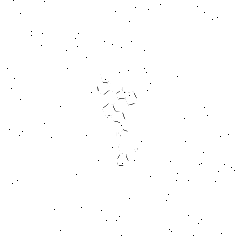 COc1ccccc1CCNC(=O)c1ccc2c(-c3c(-c4cccc(C)n4)nn4ccccc34)ccnc2c1